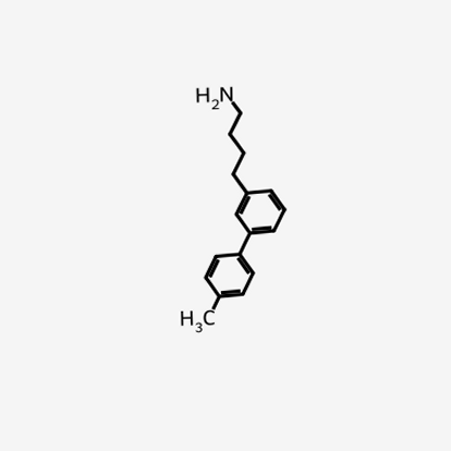 Cc1ccc(-c2cccc(CCCCN)c2)cc1